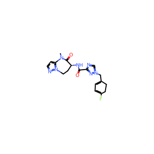 CN1C(=O)[C@@H](NC(=O)c2ncn(CC3=CC=C(F)CC3)n2)CCn2nccc21